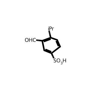 CC(C)c1ccc(S(=O)(=O)O)cc1C=O